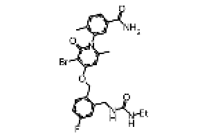 CCNC(=O)NCc1cc(F)ccc1COc1cc(C)n(-c2cc(C(N)=O)ccc2C)c(=O)c1Br